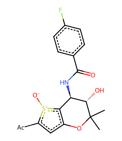 CC(=O)c1cc2c([s+]1[O-])[C@@H](NC(=O)c1ccc(F)cc1)[C@H](O)C(C)(C)O2